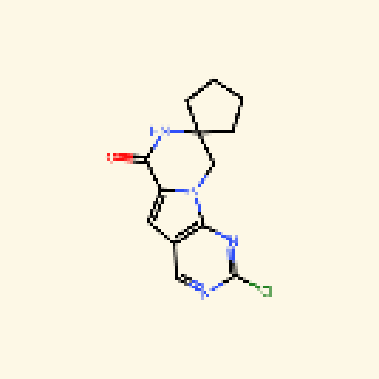 O=C1NC2(CCCC2)Cn2c1cc1cnc(Cl)nc12